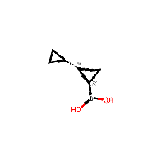 OB(O)[C@@H]1C[C@H]1C1CC1